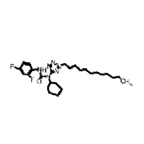 CCCCCCCCCCCCn1nnc(N(C(=O)Nc2ccc(F)cc2F)C2CCCCC2)n1